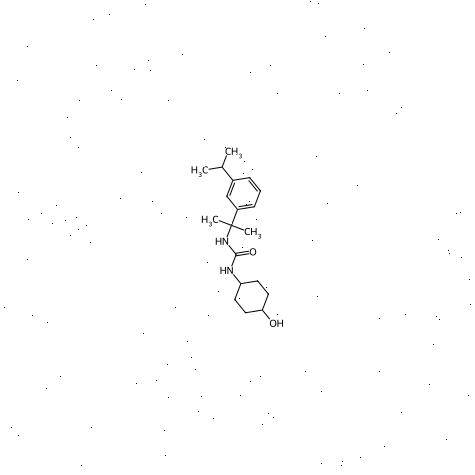 CC(C)c1cccc(C(C)(C)NC(=O)NC2CCC(O)CC2)c1